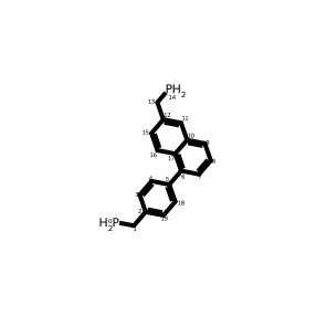 PCc1ccc(-c2cccc3cc(CP)ccc23)cc1